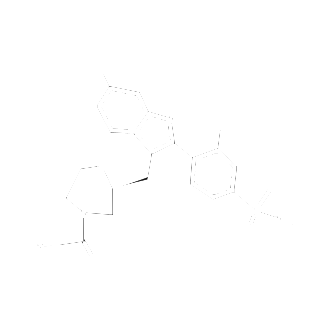 COC(=O)N1CCO[C@@H](Cc2c(-c3ccc(S(N)(=O)=O)cc3Cl)nc3cc(C)ccn23)C1